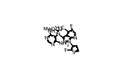 COC(=O)N(c1c(N)ncnc1N)c1nn(-c2ccsc2F)c2ncc(F)c(C)c12